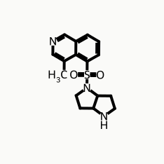 Cc1cncc2cccc(S(=O)(=O)N3CCC4NCCC43)c12